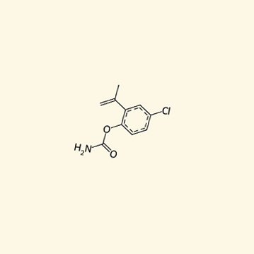 C=C(C)c1cc(Cl)ccc1OC(N)=O